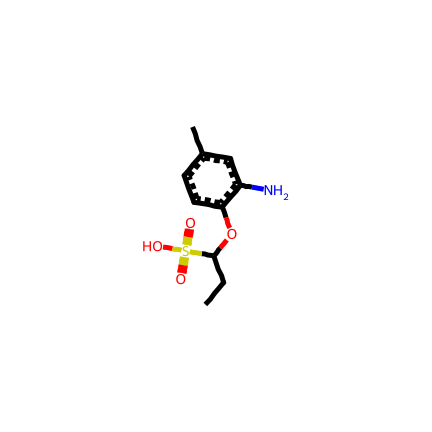 CCC(Oc1ccc(C)cc1N)S(=O)(=O)O